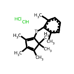 CC1=C(C)C(C)(C)[C]([Ti][c]2c(C)cccc2C)=C1C.Cl.Cl